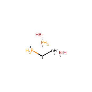 Br.Br.CCCCP.P